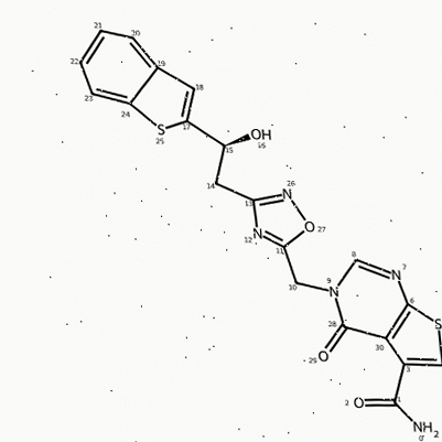 NC(=O)c1csc2ncn(Cc3nc(C[C@H](O)c4cc5ccccc5s4)no3)c(=O)c12